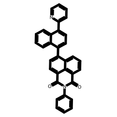 O=C1c2cccc3c(-c4ccc(-c5ccccn5)c5ccccc45)ccc(c23)C(=O)N1c1ccccc1